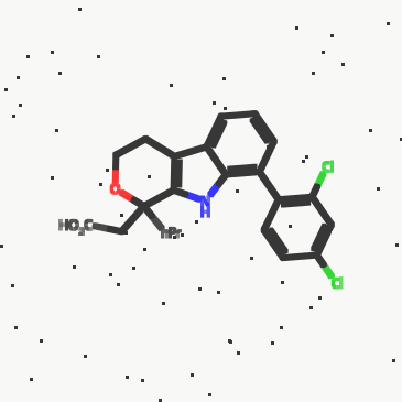 CCCC1(CC(=O)O)OCCc2c1[nH]c1c(-c3ccc(Cl)cc3Cl)cccc21